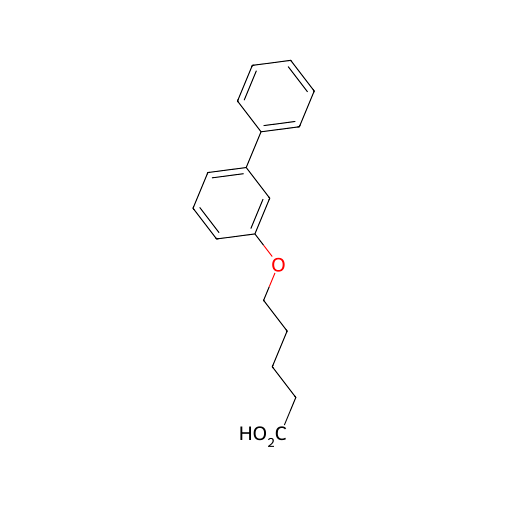 O=C(O)CCCCOc1cccc(-c2ccccc2)c1